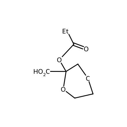 CCC(=O)OC1(C(=O)O)CCCCO1